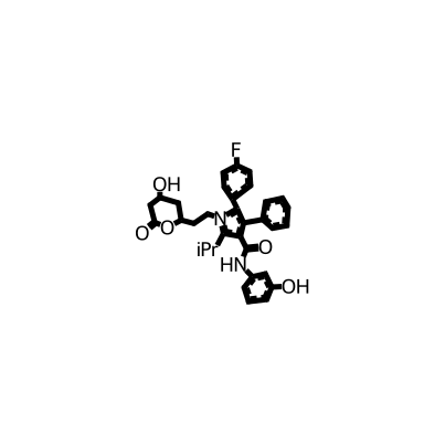 CC(C)c1c(C(=O)Nc2cccc(O)c2)c(-c2ccccc2)c(-c2ccc(F)cc2)n1CCC1CC(O)CC(=O)O1